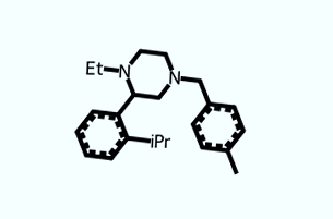 CCN1CCN(Cc2ccc(C)cc2)CC1c1ccccc1C(C)C